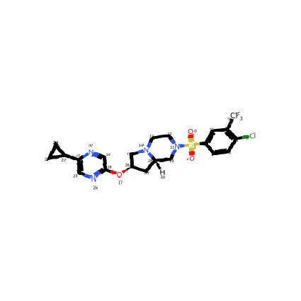 O=S(=O)(c1ccc(Cl)c(C(F)(F)F)c1)N1CCN2C[C@H](Oc3cnc(C4CC4)cn3)C[C@H]2C1